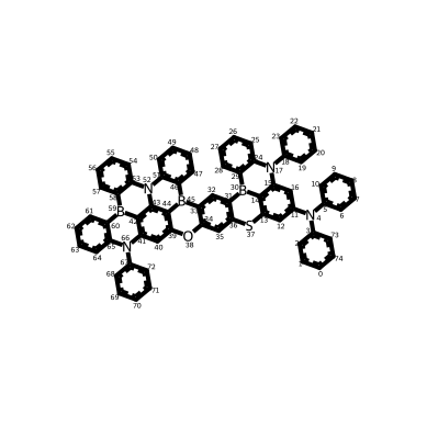 c1ccc(N(c2ccccc2)c2cc3c4c(c2)N(c2ccccc2)c2ccccc2B4c2cc4c(cc2S3)Oc2cc3c5c6c2B4c2ccccc2N6c2ccccc2B5c2ccccc2N3c2ccccc2)cc1